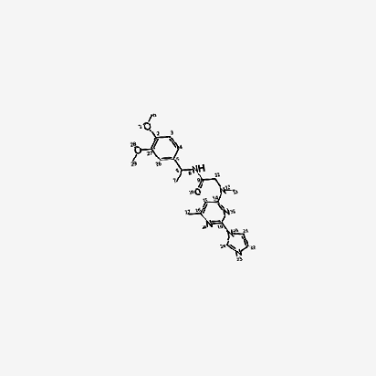 COc1ccc(C(C)NC(=O)CN(C)c2cc(C)nc(-n3ccnc3)n2)cc1OC